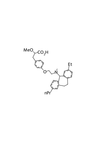 CCCc1ccc2c(c1)CCc1ccc(CC)cc1C2N(C)CCOc1ccc(CC(OC)C(=O)O)cc1